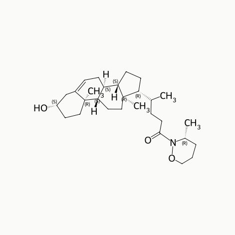 CC(CCC(=O)N1OCCC[C@H]1C)[C@H]1CC[C@H]2[C@@H]3CC=C4C[C@@H](O)CC[C@]4(C)[C@H]3CC[C@]12C